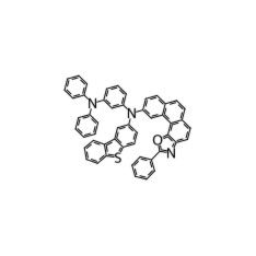 c1ccc(-c2nc3ccc4ccc5ccc(N(c6cccc(N(c7ccccc7)c7ccccc7)c6)c6ccc7sc8ccccc8c7c6)cc5c4c3o2)cc1